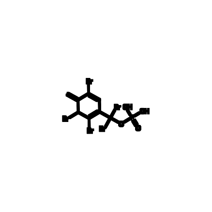 C=C1C(Br)=CC(C(Br)(Br)OP(=O)(O)O)=C(Br)C1Br